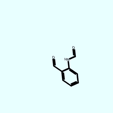 O=CNc1ccccc1C=O